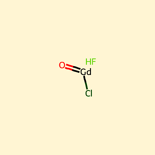 F.[O]=[Gd][Cl]